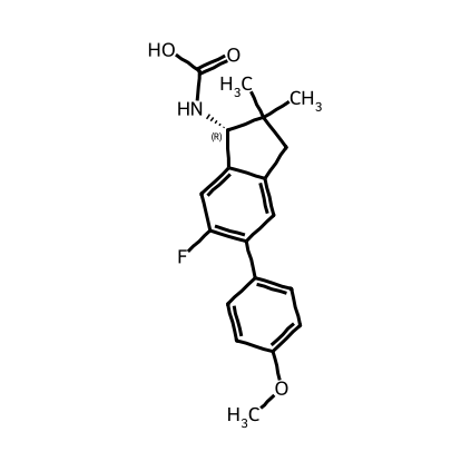 COc1ccc(-c2cc3c(cc2F)[C@H](NC(=O)O)C(C)(C)C3)cc1